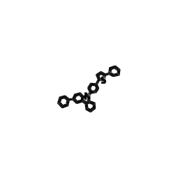 c1ccc(-c2ccc3c(c2)c2ccccc2n3-c2ccc(-c3ccc(-c4ccccc4)s3)cc2)cc1